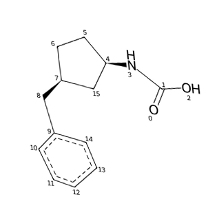 O=C(O)N[C@@H]1CC[C@H](Cc2ccccc2)C1